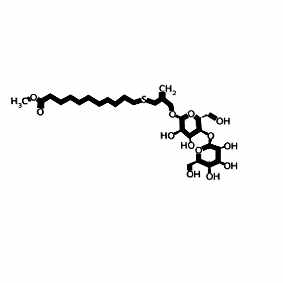 C=C(CO[C@H]1O[C@H](CO)[C@@H](O[C@@H]2O[C@H](CO)[C@H](O)[C@H](O)[C@H]2O)[C@H](O)[C@H]1O)CSCCCCCCCCCCC(=O)OC